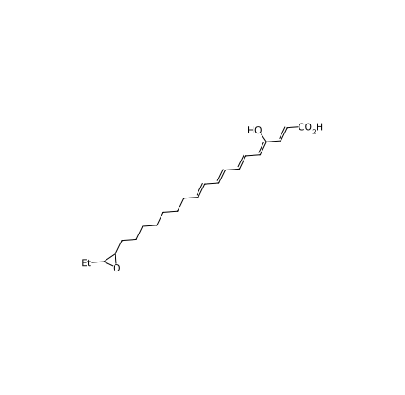 CCC1OC1CCCCCCCC=CC=CC=CC=C(O)C=CC(=O)O